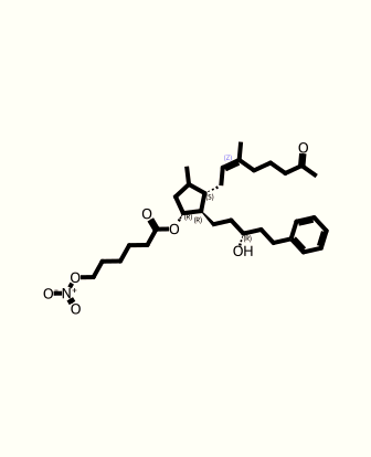 CC(=O)CCC/C(C)=C\C[C@H]1C(C)C[C@@H](OC(=O)CCCCCO[N+](=O)[O-])[C@@H]1CC[C@@H](O)CCc1ccccc1